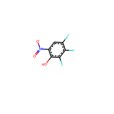 O=[N+]([O-])c1cc(F)c(F)c(F)c1O